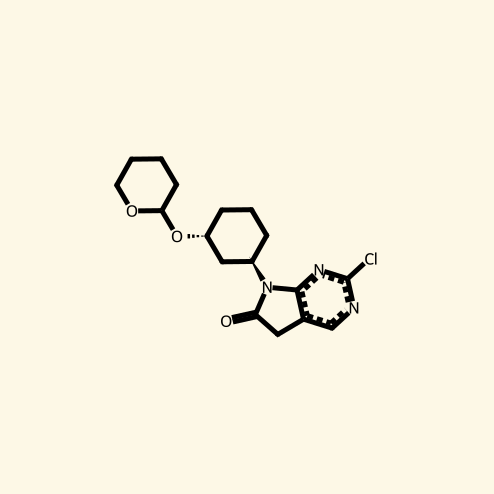 O=C1Cc2cnc(Cl)nc2N1[C@@H]1CCC[C@@H](OC2CCCCO2)C1